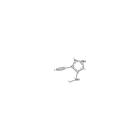 CNc1c[nH]nc1C#N